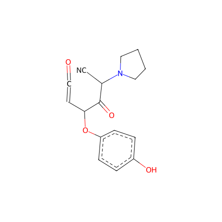 N#CC(C(=O)C(C=C=O)Oc1ccc(O)cc1)N1CCCC1